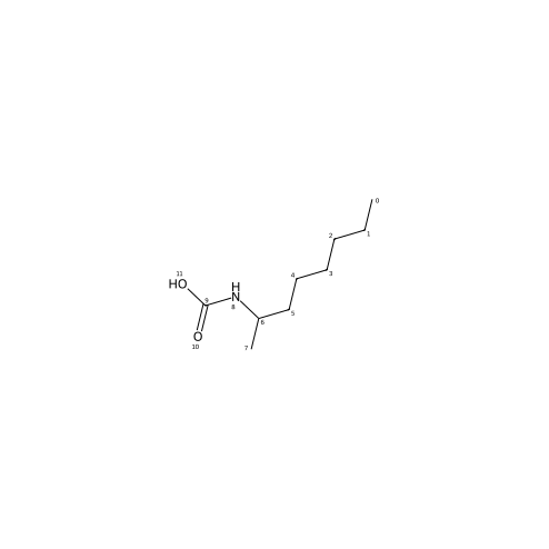 CCCCCCC(C)NC(=O)O